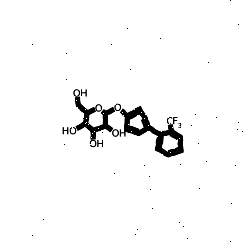 OCC1OC(Oc2ccc(-c3ccccc3C(F)(F)F)cc2)C(O)C(O)C1O